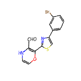 O=CC1=C(c2nc(-c3cccc(Br)c3)cs2)OC=CN1